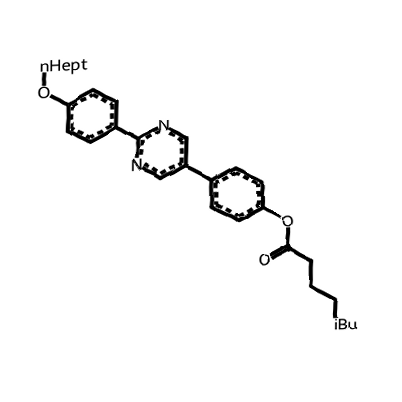 CCCCCCCOc1ccc(-c2ncc(-c3ccc(OC(=O)CCCC(C)CC)cc3)cn2)cc1